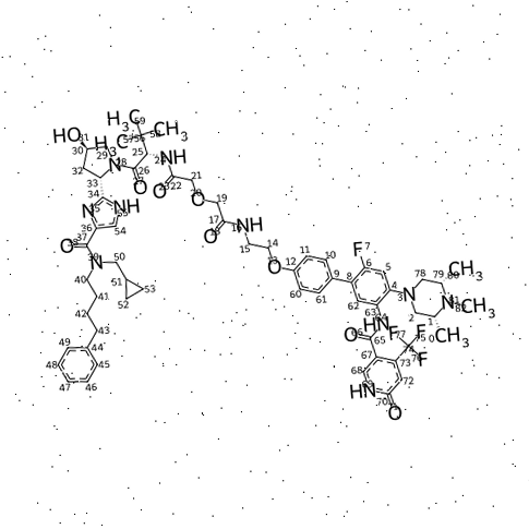 C[C@@H]1CN(c2cc(F)c(-c3ccc(OCCNC(=O)COCC(=O)N[C@H](C(=O)N4C[C@H](O)C[C@H]4c4nc(C(=O)N(CCCCc5ccccc5)CC5CC5)c[nH]4)C(C)(C)C)cc3)cc2NC(=O)c2c[nH]c(=O)cc2C(F)(F)F)C[C@H](C)N1C